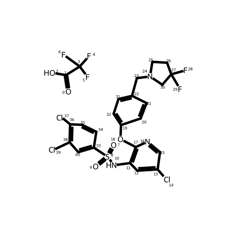 O=C(O)C(F)(F)F.O=S(=O)(Nc1cc(Cl)cnc1Oc1ccc(CN2CCC(F)(F)C2)cc1)c1ccc(Cl)c(Cl)c1